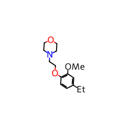 CCc1ccc(OCCN2CCOCC2)c(OC)c1